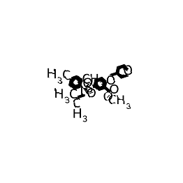 COC(=O)c1cc(S(=O)(=O)N(CC(C)C)c2ccc(C)cc2C)ccc1OCC1CCOCC1